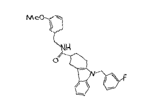 COc1cccc(CNC(=O)C2CCc3c(c4ccccc4n3Cc3cccc(F)c3)C2)c1